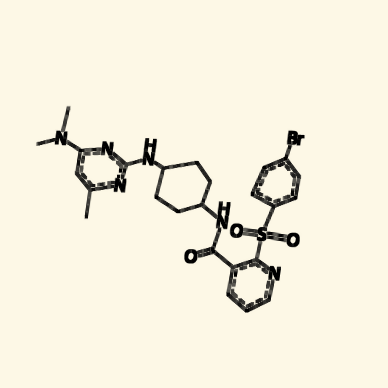 Cc1cc(N(C)C)nc(NC2CCC(NC(=O)c3cccnc3S(=O)(=O)c3ccc(Br)cc3)CC2)n1